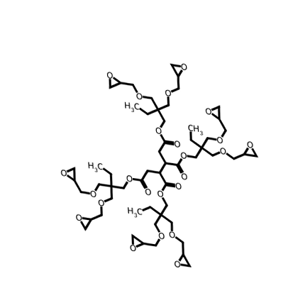 CCC(COCC1CO1)(COCC1CO1)COC(=O)CC(C(=O)OCC(CC)(COCC1CO1)COCC1CO1)C(CC(=O)OCC(CC)(COCC1CO1)COCC1CO1)C(=O)OCC(CC)(COCC1CO1)COCC1CO1